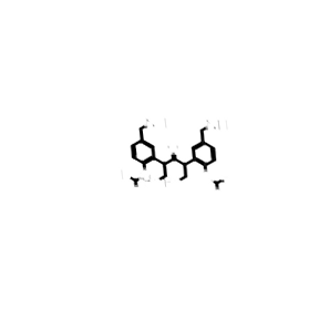 NCc1ccc(OC(F)F)c(C(CBr)C(=O)C(CBr)c2cc(CN)ccc2OC(F)F)c1